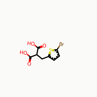 O=C(O)C(Cc1ccc(Br)s1)C(=O)O